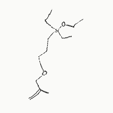 C=C(C)COCCC[Si](CC)(CC)OCC